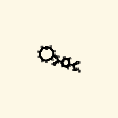 NC(=O)c1ccc(C(=O)N=C2CCCCCCCCC2)cc1